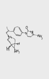 CC(CN1C[C@@H]2[C@@H](N)[C@@H]2C1)c1ccc(-n2ccc(N)nc2=O)cc1